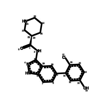 O=C(Nc1n[nH]c2ccc(-c3cc(O)ccc3Cl)cc12)[C@@H]1CCCNC1